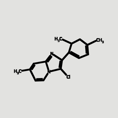 CC1=CC=C(c2nc3cc(C)ccn3c2Cl)C(C)C1